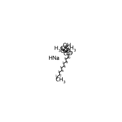 CCCCCCCCCCCC(=O)OS(=O)(=O)C(C)(C)O.[NaH]